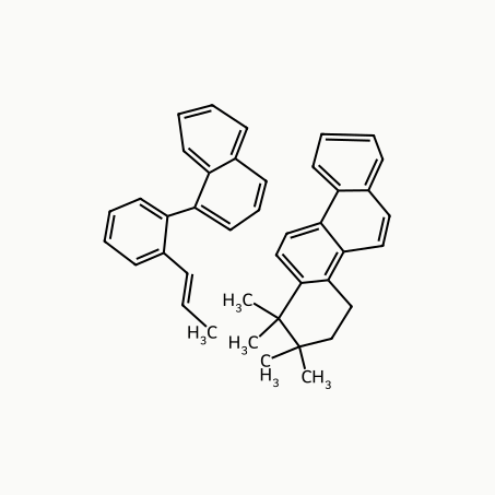 CC1(C)CCc2c(ccc3c2ccc2ccccc23)C1(C)C.CC=Cc1ccccc1-c1cccc2ccccc12